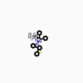 C[Si]1(C)c2ccccc2-c2c(-c3ccccc3)nc(-n3c4ccccc4c4c5c(ccc43)sc3ccccc35)nc21